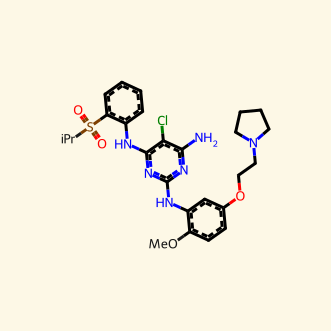 COc1ccc(OCCN2CCCC2)cc1Nc1nc(N)c(Cl)c(Nc2ccccc2S(=O)(=O)C(C)C)n1